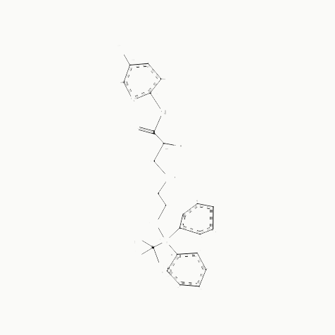 CC(C)(C)[Si](OCCOCC(O)C(=O)Nc1ccc(F)cn1)(c1ccccc1)c1ccccc1